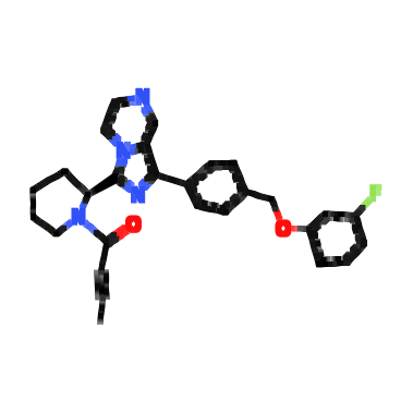 CC#CC(=O)N1CCCC[C@H]1c1nc(-c2ccc(COc3cccc(F)c3)cc2)c2cnccn12